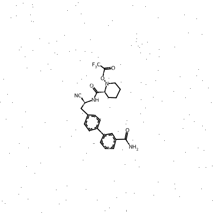 N#C[C@H](Cc1ccc(-c2cccc(C(N)=O)c2)cc1)NC(=O)[C@@H]1CCCCN1OC(=O)C(F)(F)F